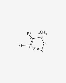 C[C@@H]1CC=CC(F)=C1F